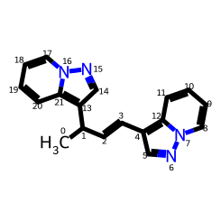 CC(C=Cc1cnn2ccccc12)c1cnn2ccccc12